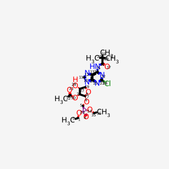 CCOP(=O)(CO[C@H]1O[C@@H](n2cnc3c(NC(=O)C(C)(C)C)nc(Cl)nc32)[C@H](O)[C@@H]1OC(C)=O)OCC